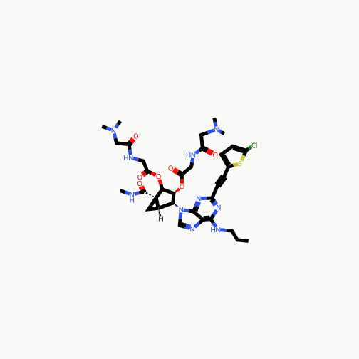 CCCNc1nc(C#Cc2ccc(Cl)s2)nc2c1ncn2[C@H]1[C@H](OC(=O)CNC(=O)CN(C)C)C(OC(=O)CNC(=O)CN(C)C)[C@]2(C(=O)NC)C[C@H]12